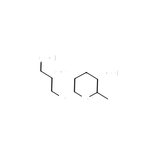 CC1O[C@H](O[C@H](C)CCC(=O)O)[C@H](O)C[C@@H]1O